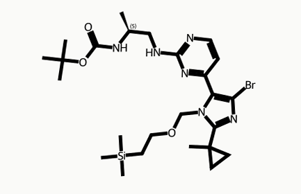 C[C@@H](CNc1nccc(-c2c(Br)nc(C3(C)CC3)n2COCC[Si](C)(C)C)n1)NC(=O)OC(C)(C)C